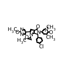 COc1ncc(-c2cc3c(n2C2CC2)C(c2ccc(Cl)cc2)N(c2cc(C)c(=O)n(C)c2)C3=O)c(OC)n1